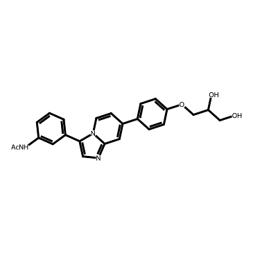 CC(=O)Nc1cccc(-c2cnc3cc(-c4ccc(OCC(O)CO)cc4)ccn23)c1